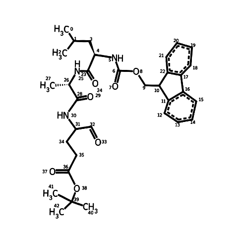 CC(C)C[C@@H](NC(=O)OCC1c2ccccc2-c2ccccc21)C(=O)N[C@@H](C)C(=O)NC(C=O)CCC(=O)OC(C)(C)C